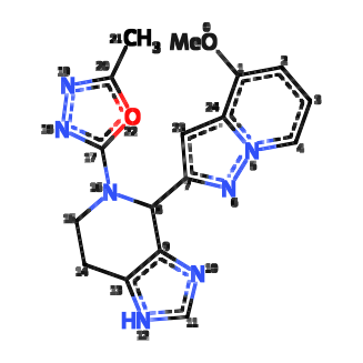 COc1cccn2nc(C3c4nc[nH]c4CCN3c3nnc(C)o3)cc12